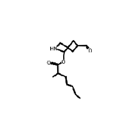 CCCCCC(C)C(=O)OC1NCC12CC(C=O)C2